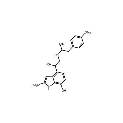 COc1ccc(CC(C)NCC(O)c2ccc(O)c3[nH]c(C(=O)O)cc23)cc1